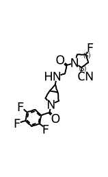 N#C[C@@H]1C[C@H](F)CN1C(=O)CNC1C2CN(C(=O)c3cc(F)c(F)cc3F)CC21